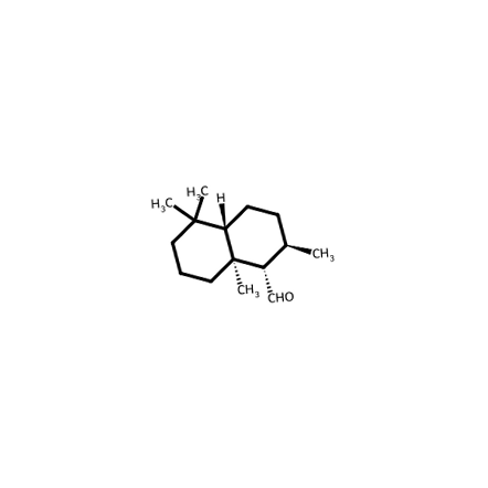 C[C@@H]1CC[C@H]2C(C)(C)CCC[C@]2(C)[C@H]1C=O